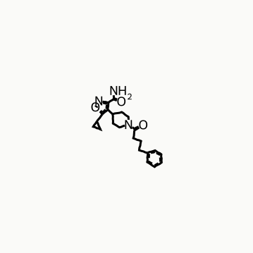 NC(=O)c1noc(C2CC2)c1C1CCN(C(=O)CCCc2ccccc2)CC1